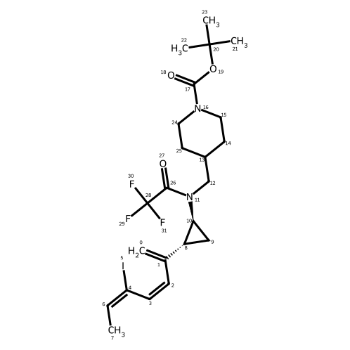 C=C(/C=C\C(I)=C/C)[C@H]1C[C@@H]1N(CC1CCN(C(=O)OC(C)(C)C)CC1)C(=O)C(F)(F)F